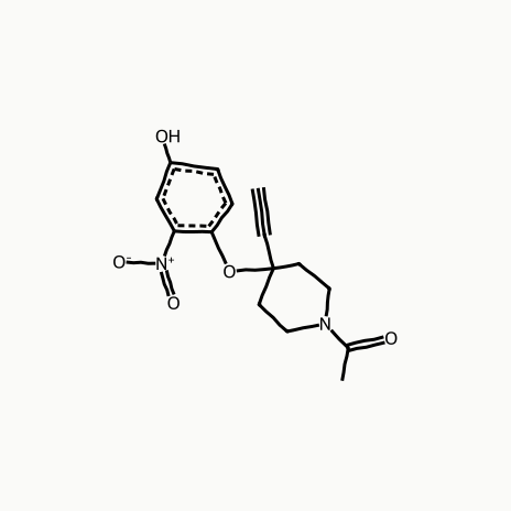 C#CC1(Oc2ccc(O)cc2[N+](=O)[O-])CCN(C(C)=O)CC1